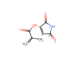 C=C(C)C(=O)O.O=C1C=CC(=O)N1